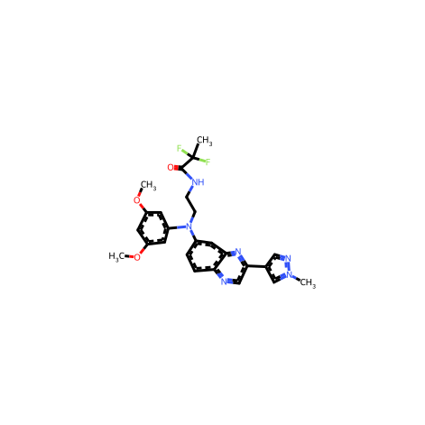 COc1cc(OC)cc(N(CCNC(=O)C(C)(F)F)c2ccc3ncc(-c4cnn(C)c4)nc3c2)c1